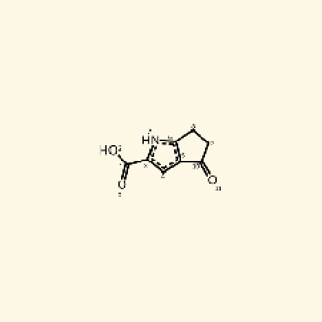 O=C(O)c1cc2c([nH]1)CCC2=O